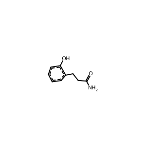 NC(=O)CCc1ccccc1O